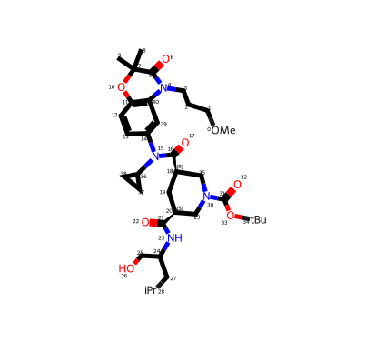 COCCCN1C(=O)C(C)(C)Oc2ccc(N(C(=O)[C@@H]3C[C@H](C(=O)NC(CO)CC(C)C)CN(C(=O)OC(C)(C)C)C3)C3CC3)cc21